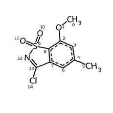 COc1cc(C)cc2c1S(=O)(=O)N=C2Cl